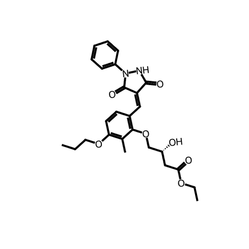 CCCOc1ccc(/C=C2/C(=O)NN(c3ccccc3)C2=O)c(OC[C@H](O)CC(=O)OCC)c1C